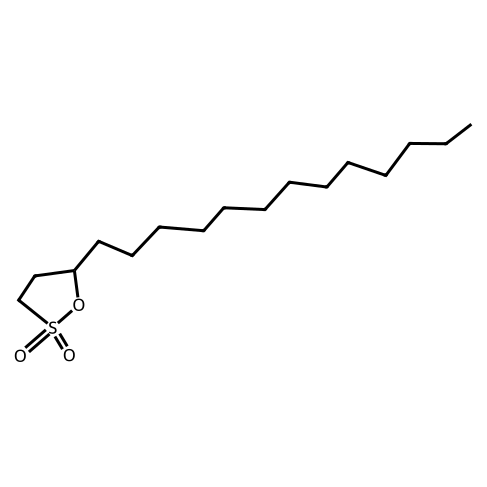 CCCCCCCCCCCCCC1CCS(=O)(=O)O1